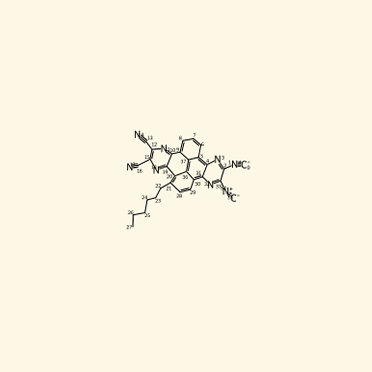 [C-]#[N+]c1nc2c3cccc4c5nc(C#N)c(C#N)nc5c5c(CCCCCC)ccc(c2nc1[N+]#[C-])c5c34